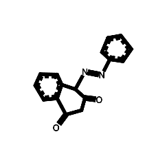 O=C1CC(=O)C(N=Nc2ccccc2)c2ccccc21